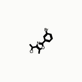 Cc1oc(-c2cccc(Br)c2)nc1C(C)Cl